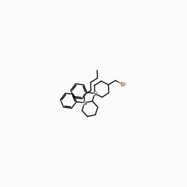 CCCCC[Si]1(c2ccccc2)CCCCC1[Si]1(c2ccccc2)CCC(CBr)CC1